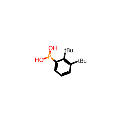 CC(C)(C)c1cccc(P(O)O)c1C(C)(C)C